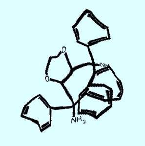 NC(c1ccccc1)(c1ccccc1)C1OCOC1C(N)(c1ccccc1)c1ccccc1